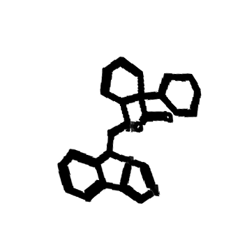 O=C(O)C1(C2CCCCC2)C=CC=CC1CCC1c2ccccc2-c2cncn21